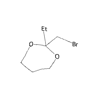 CCC1(CBr)OCCCO1